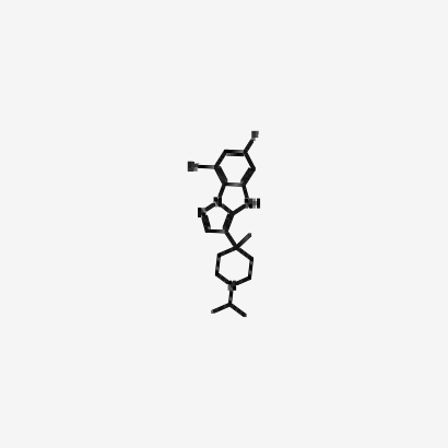 CC(C)N1CCC(C)(c2cnn3c2[nH]c2cc(F)cc(Br)c23)CC1